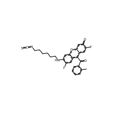 Cc1ccccc1C(=O)c1c2cc(F)c(=O)cc-2oc2cc(NCCCCCCN=C=S)c(F)cc12